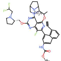 C#Cc1cccc2cc(NC(=O)OC(C)(C)C)cc(-c3nc4c5c(nc(OC[C@@H]6CCCN6CC(F)F)nc5c3F)N3CC5CCC(C3C(C)O4)N5C(=O)O)c12